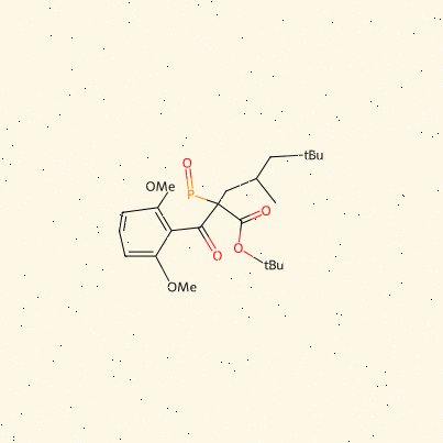 COc1cccc(OC)c1C(=O)C(CC(C)CC(C)(C)C)(P=O)C(=O)OC(C)(C)C